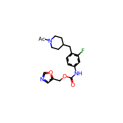 CC(=O)N1CCC(Cc2ccc(NC(=O)OCc3cnco3)cc2F)CC1